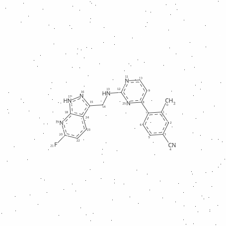 Cc1cc(C#N)ccc1-c1ccnc(NCc2n[nH]c3nc(F)ccc23)n1